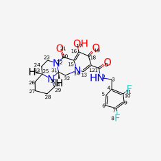 O=C(NCc1ccc(F)cc1F)c1cn2c(c(O)c1=O)C(=O)N1CC[C@H]3CCCCN3[C@H]1C2